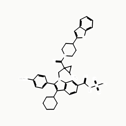 COc1ccc(-c2c(C3CCCCC3)c3ccc(C(=O)NS(=O)(=O)C(C)C)cc3n2CC2(C(=O)N3CCC(c4cc5ccccc5o4)CC3)CC2C)cc1